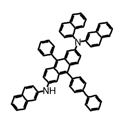 c1ccc(-c2ccc(-c3c4ccc(N(c5ccc6ccccc6c5)c5cccc6ccccc56)cc4c(-c4ccccc4)c4ccc(Nc5ccc6ccccc6c5)cc34)cc2)cc1